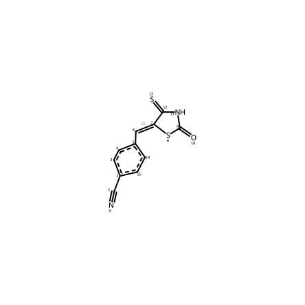 N#Cc1ccc(/C=C2\SC(=O)NC2=S)cc1